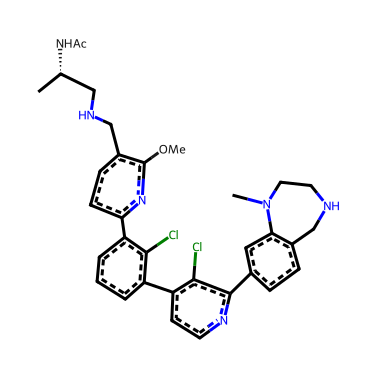 COc1nc(-c2cccc(-c3ccnc(-c4ccc5c(c4)N(C)CCNC5)c3Cl)c2Cl)ccc1CNC[C@H](C)NC(C)=O